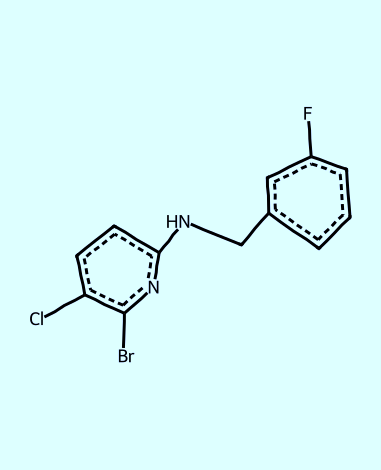 Fc1cccc(CNc2ccc(Cl)c(Br)n2)c1